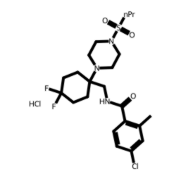 CCCS(=O)(=O)N1CCN(C2(CNC(=O)c3ccc(Cl)cc3C)CCC(F)(F)CC2)CC1.Cl